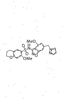 COc1cc2c(cc1S(=O)(=O)Nc1noc3cc(Cn4cccn4)cc(OC)c13)CCCO2